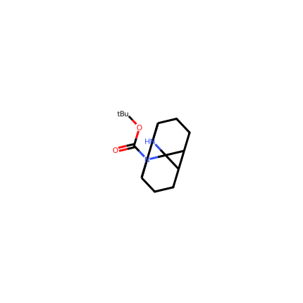 CC(C)(C)OC(=O)N1C2CCC3C4CCC2NC431